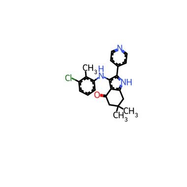 Cc1c(Cl)cccc1Nc1c(-c2ccncc2)[nH]c2c1C(=O)CC(C)(C)C2